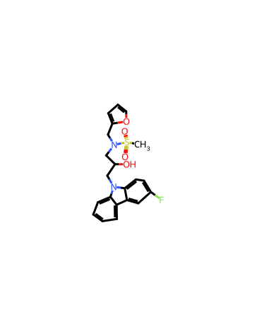 CS(=O)(=O)N(Cc1ccco1)CC(O)Cn1c2ccccc2c2cc(F)ccc21